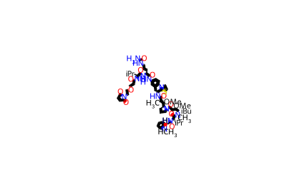 CC[C@H](C)[C@@H]([C@@H](CC(=O)N1CCC[C@H]1[C@H](OC)[C@@H](C)C(=O)N[C@@H](Cc1cccc(NC(=O)[C@H](CCCNC(N)=O)NC(=O)[C@@H](NC(=O)CCOCCN2C(=O)C=CC2=O)C(C)C)c1)c1nccs1)OC)N(C)C(=O)[C@@H](NC(=O)[C@@H]1[C@H]2CC[C@H](C2)N1C)C(C)C